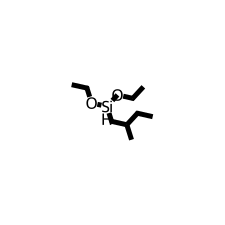 CCO[SiH](CC(C)CC)OCC